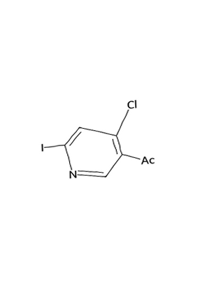 CC(=O)c1cnc(I)cc1Cl